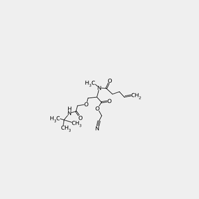 C=CCCC(=O)N(C)C(COCC(=O)NC(C)(C)C)C(=O)OCC#N